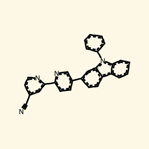 N#Cc1ccnc(-c2ccc(-c3ccc4c5ccccc5n(-c5ccccc5)c4c3)cn2)c1